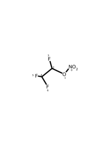 O=[N+]([O-])OC(F)C(F)F